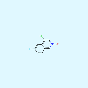 [O-][n+]1cc(Cl)c2cc(F)ccc2c1